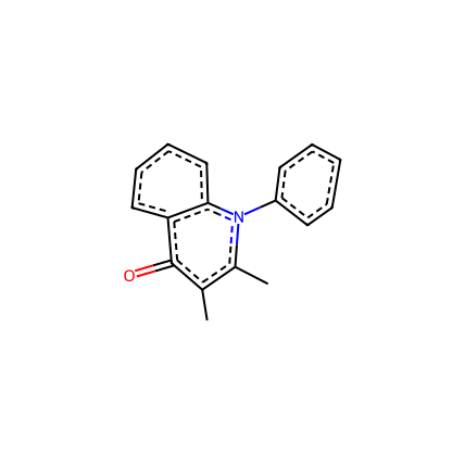 Cc1c(C)n(-c2ccccc2)c2ccccc2c1=O